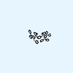 c1ccc(Oc2cc(N(c3ccccc3)c3cccc(N(c4ccccc4)c4cc(N(c5ccccc5)c5ccccc5)cc5c4c4ccccc4n5-c4ccccc4)c3)cc3c2c2ccccc2n3-c2ccccc2)cc1